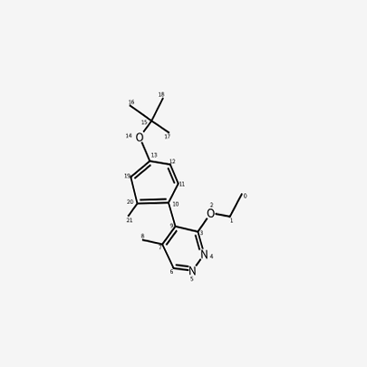 CCOc1nncc(C)c1-c1ccc(OC(C)(C)C)cc1C